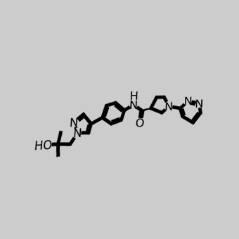 CC(C)(O)Cn1cc(-c2ccc(NC(=O)[C@H]3CCN(c4cccnn4)C3)cc2)cn1